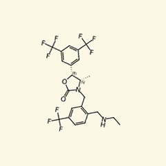 CCNCc1ccc(C(F)(F)F)cc1CN1C(=O)O[C@H](c2cc(C(F)(F)F)cc(C(F)(F)F)c2)[C@@H]1C